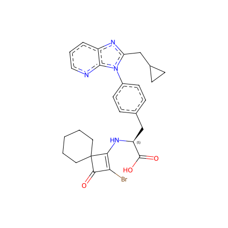 O=C(O)[C@H](Cc1ccc(-n2c(CC3CC3)nc3cccnc32)cc1)NC1=C(Br)C(=O)C12CCCCC2